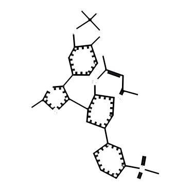 Cc1nc(-c2cc(-c3cccc(S(C)(=O)=O)c3)ccc2N/C(Cl)=C\C(=N)C(F)(F)F)c(-c2ccc3c(c2)OC(F)(F)O3)o1